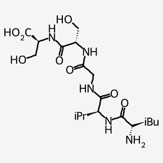 CC[C@H](C)[C@H](N)C(=O)N[C@H](C(=O)NCC(=O)N[C@@H](CO)C(=O)N[C@@H](CO)C(=O)O)C(C)C